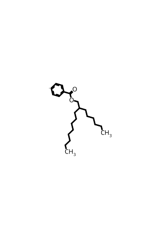 CCCCCCCCC(CCCCCC)COC(=O)c1cc[c]cc1